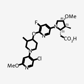 COc1cc(N2CCC(Oc3ncc(N4C[C@H](OC)[C@@H](C)[C@@H]4CC(=O)O)cc3F)C(C)C2)c(Cl)cn1